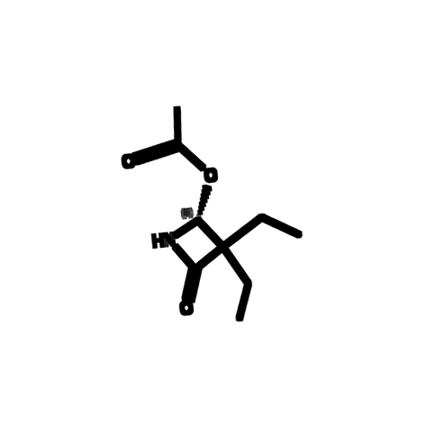 CCC1(CC)C(=O)N[C@@H]1OC(C)=O